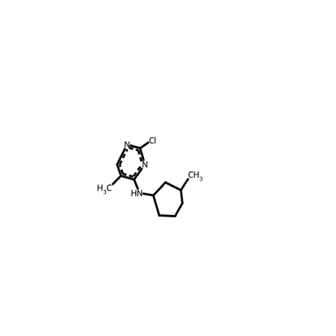 Cc1cnc(Cl)nc1NC1CCCC(C)C1